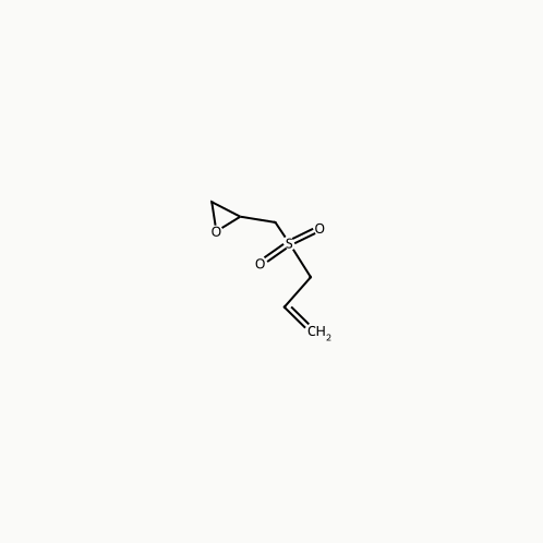 C=CCS(=O)(=O)CC1CO1